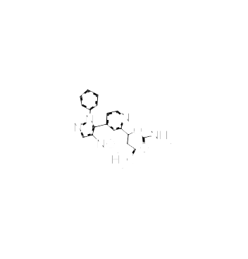 C=CCC(OC(N)=O)c1cc(-c2c([N+](=O)[O-])cnn2-c2ccccc2)ccn1